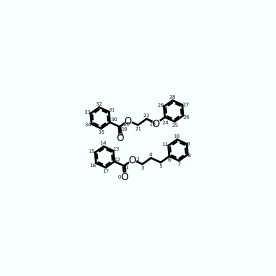 O=C(OCCCc1ccccc1)c1ccccc1.O=C(OCCOc1ccccc1)c1ccccc1